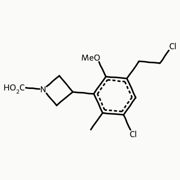 COc1c(CCCl)cc(Cl)c(C)c1C1CN(C(=O)O)C1